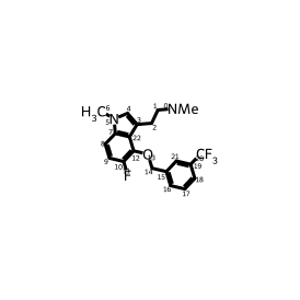 CNCCc1cn(C)c2ccc(F)c(OCc3cccc(C(F)(F)F)c3)c12